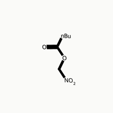 CCCCC(=O)OC[N+](=O)[O-]